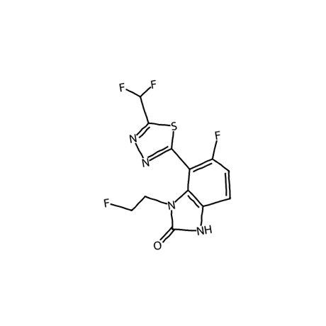 O=c1[nH]c2ccc(F)c(-c3nnc(C(F)F)s3)c2n1CCF